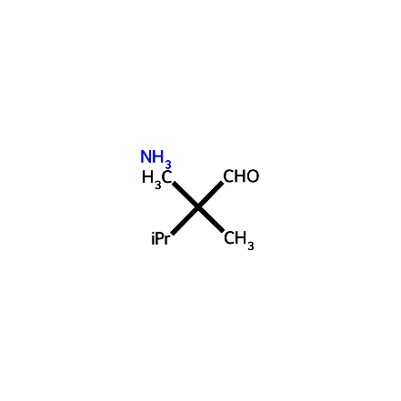 CC(C)C(C)(C)C=O.N